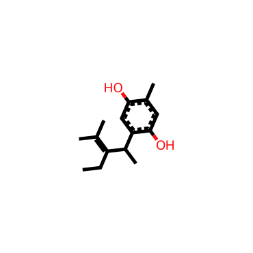 CCC(=C(C)C)C(C)c1cc(O)c(C)cc1O